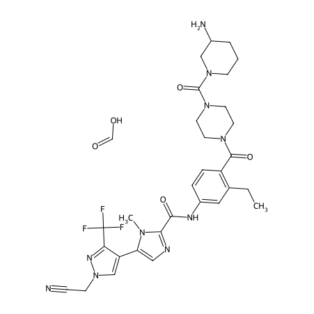 CCc1cc(NC(=O)c2ncc(-c3cn(CC#N)nc3C(F)(F)F)n2C)ccc1C(=O)N1CCN(C(=O)N2CCCC(N)C2)CC1.O=CO